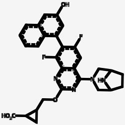 O=C(O)C1CC1COc1nc(N2CC3CCC(C2)N3)c2cc(F)c(-c3cc(O)cc4ccccc34)c(F)c2n1